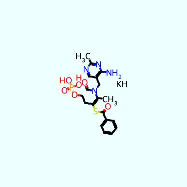 CC(=C(CCOP(=O)(O)O)SC(=O)c1ccccc1)N(C=O)Cc1cnc(C)nc1N.[KH]